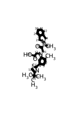 Cc1ccc(-c2nc(C(C)(C)C)cs2)cc1N(CC(=O)O)CC(=O)N(C)N1Cc2ccccc2C1